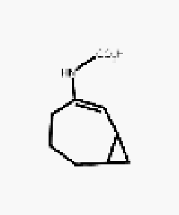 O=C(O)NC1=CC2CC2CCC1